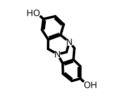 Oc1ccc2c(c1)CN1CN2Cc2cc(O)ccc21